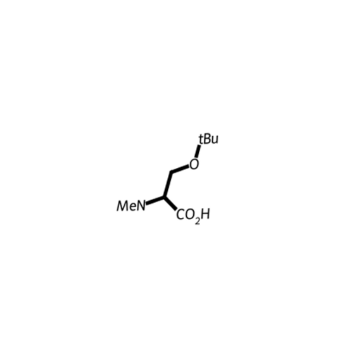 CNC(COC(C)(C)C)C(=O)O